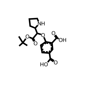 CC(C)(C)OC(=O)C(Oc1ccc(C(=O)O)cc1C(=O)O)C1CCCN1